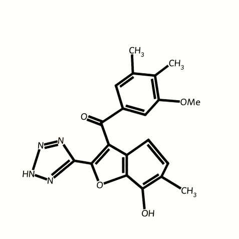 COc1cc(C(=O)c2c(-c3nn[nH]n3)oc3c(O)c(C)ccc23)cc(C)c1C